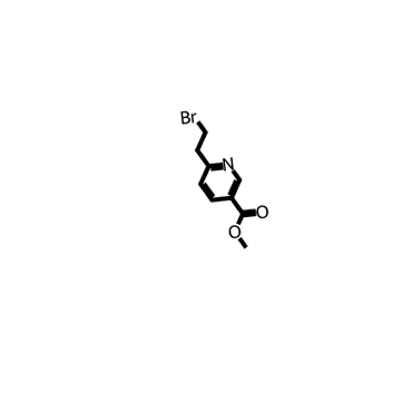 COC(=O)c1ccc(CCBr)nc1